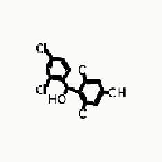 Oc1cc(Cl)c(C(O)c2ccc(Cl)cc2Cl)c(Cl)c1